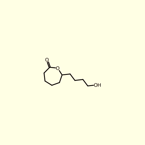 O=C1CCCCC(CCCCO)O1